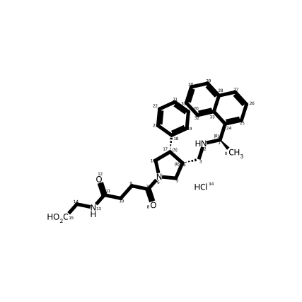 C[C@@H](NC[C@@H]1CN(C(=O)CCC(=O)NCC(=O)O)C[C@@H]1c1ccccc1)c1cccc2ccccc12.Cl